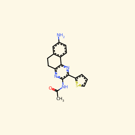 CC(=O)Nc1nc2c(nc1-c1cccs1)-c1ccc(N)cc1CC2